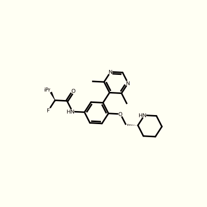 Cc1ncnc(C)c1-c1cc(NC(=O)[C@@H](F)C(C)C)ccc1OC[C@H]1CCCCN1